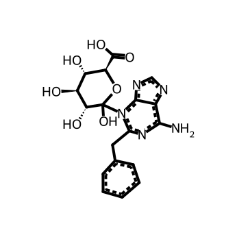 Nc1nc(Cc2ccccc2)n(C2(O)O[C@H](C(=O)O)[C@@H](O)[C@H](O)[C@H]2O)c2ncnc1-2